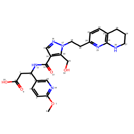 COc1ccc(C(CC(=O)O)NC(=O)c2cnn(CCc3ccc4c(n3)NCCC4)c2CO)cn1